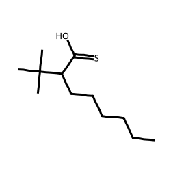 CCCCCCC(C(O)=S)C(C)(C)C